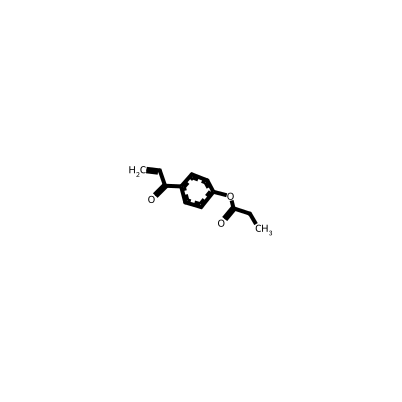 C=CC(=O)c1ccc(OC(=O)CC)cc1